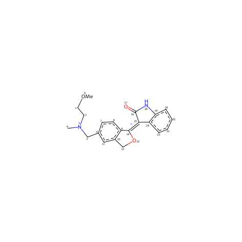 COCCN(C)Cc1ccc2c(c1)CO/C2=C1/C(=O)Nc2ccccc21